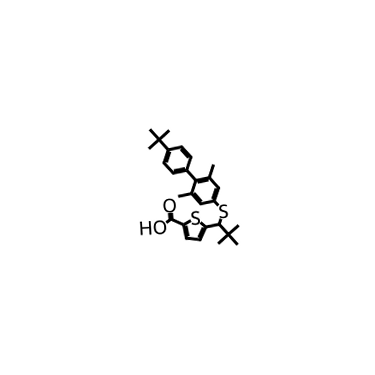 Cc1cc(SC(c2ccc(C(=O)O)s2)C(C)(C)C)cc(C)c1-c1ccc(C(C)(C)C)cc1